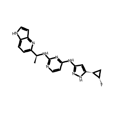 C[C@H](Nc1nccc(Nc2cc([C@@H]3C[C@@H]3F)[nH]n2)n1)c1ccc2[nH]ccc2n1